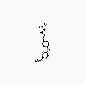 COC(=O)/C=C\C(=O)OC1CCN(CCNC[SH](=O)=O)CC1